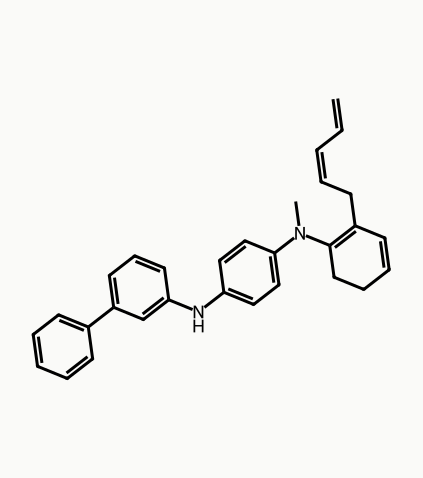 C=C/C=C\CC1=C(N(C)c2ccc(Nc3cccc(-c4ccccc4)c3)cc2)CCC=C1